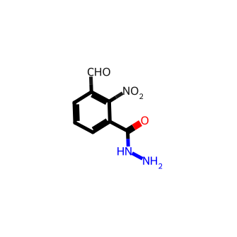 NNC(=O)c1cccc(C=O)c1[N+](=O)[O-]